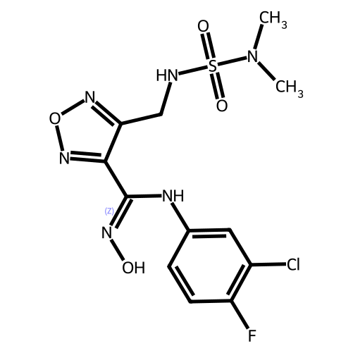 CN(C)S(=O)(=O)NCc1nonc1/C(=N/O)Nc1ccc(F)c(Cl)c1